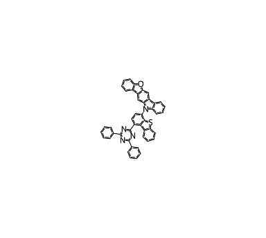 c1ccc(-c2nc(-c3ccccc3)nc(-c3ccc(-n4c5ccccc5c5cc6oc7ccccc7c6cc54)c4sc5ccccc5c34)n2)cc1